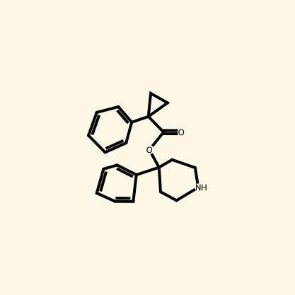 O=C(OC1(c2ccccc2)CCNCC1)C1(c2ccccc2)CC1